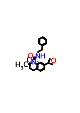 CC1(C)CCc2ccc(C3COC3)cc2N1C(=O)NCCc1ccccc1